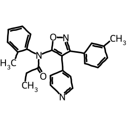 CCC(=O)N(c1ccccc1C)c1onc(-c2cccc(C)c2)c1-c1ccncc1